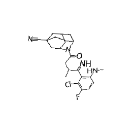 CNc1ccc(F)c(Cl)c1C(=N)C(C)CC(=O)N1C2CC3CC1CC(C#N)(C3)C2